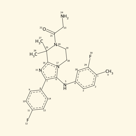 Cc1ccc(Nc2c(-c3ccc(F)cc3)nc3n2CCN(C(=O)CN)C3(C)C)cc1F